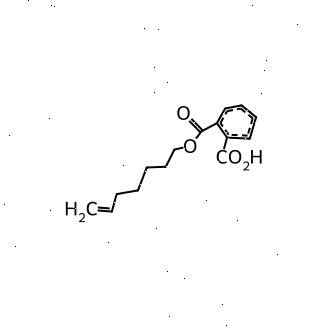 C=CCCCCCOC(=O)c1ccccc1C(=O)O